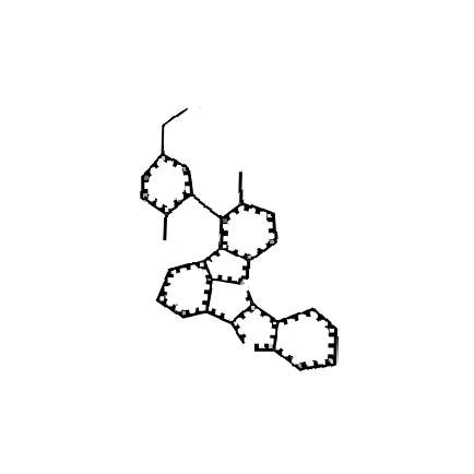 Cc1ccc(CC(C)(C)C)cc1-c1c(C)ccc2c1c1cccc3c4oc5ccccc5c4n2c31